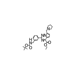 CCOC(=O)c1nc(-c2cccc(CNC(=O)OC(C)(C)C)c2)nn2c(CN3CCCC3)ccc12